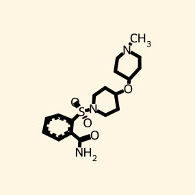 CN1CCC(OC2CCN(S(=O)(=O)c3ccccc3C(N)=O)CC2)CC1